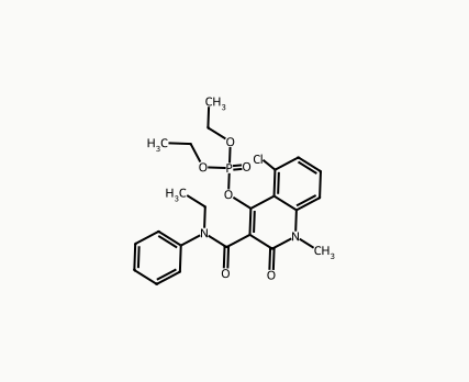 CCOP(=O)(OCC)Oc1c(C(=O)N(CC)c2ccccc2)c(=O)n(C)c2cccc(Cl)c12